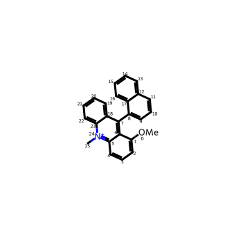 COc1cccc2c1c(-c1cccc3ccccc13)c1ccccc1[n+]2C